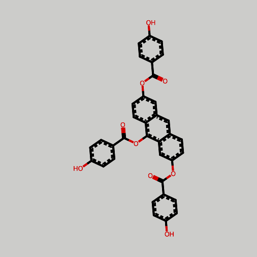 O=C(Oc1ccc2c(OC(=O)c3ccc(O)cc3)c3cc(OC(=O)c4ccc(O)cc4)ccc3cc2c1)c1ccc(O)cc1